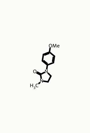 COc1ccc(N2CCN(C)C2=O)cc1